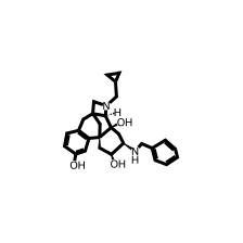 Oc1ccc2c(c1)[C@@]13C[C@H](O)[C@H](NCc4ccccc4)C[C@@]1(O)[C@@H]1N(CC4CC4)CC1(C2)C3